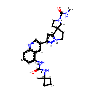 CCNC(=O)N1CCC2(CCn3nc(-c4cnc5cccc(NC(=O)NC6(C)CCC6)c5c4)cc32)C1